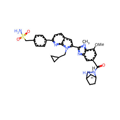 COc1cc(C(=O)N2CC3CCC2[C@@H]3N)cc2nc(-c3cc4ccc(-c5ccc(CS(N)(=O)=O)cc5)nc4n3CC3CC3)n(C)c12